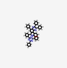 c1ccc(-c2nc(-c3ccccc3)nc(-c3ccccc3-c3nc4ccccc4c4c3cc(-c3ccccc3)c3nc(-c5ccccc5)c(-c5ccccc5)nc34)n2)cc1